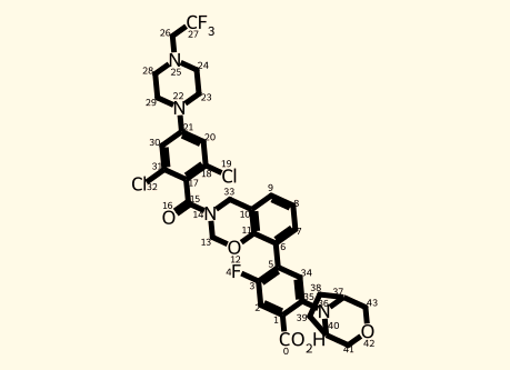 O=C(O)c1cc(F)c(-c2cccc3c2OCN(C(=O)c2c(Cl)cc(N4CCN(CC(F)(F)F)CC4)cc2Cl)C3)cc1N1C2CCC1COC2